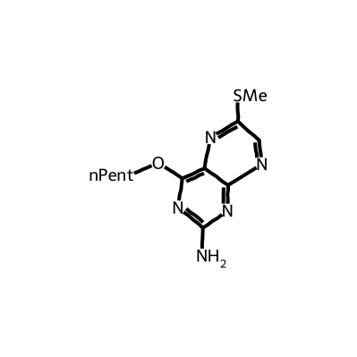 CCCCCOc1nc(N)nc2ncc(SC)nc12